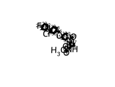 CS(=O)(=O)Nc1ccn(C(=O)N2CCC(OCc3ccc(N4CCC(F)CC4)c(Cl)c3)CC2)n1